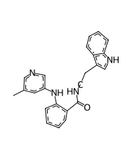 Cc1cncc(Nc2ccccc2C(=O)NCCc2c[nH]c3ccccc23)c1